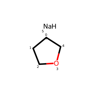 [CH]1CCOC1.[NaH]